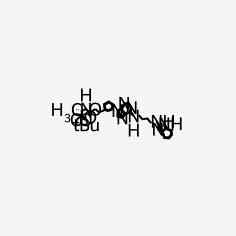 C[C@H](NC(=O)OCc1cccc(-n2cnc3c(NCCCCNc4nc5ccccc5[nH]4)ncnc32)c1)C(=O)OC(C)(C)C